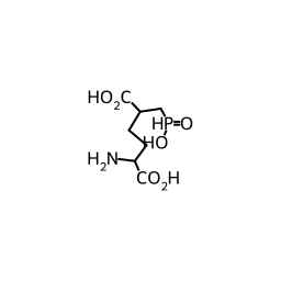 NC(CCC(C[PH](=O)O)C(=O)O)C(=O)O